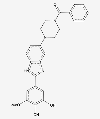 COc1cc(-c2nc3cc(N4CCN(C(=O)c5ccccc5)CC4)ccc3[nH]2)cc(O)c1O